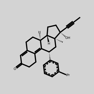 CC#C[C@]1(O)CC[C@H]2[C@@H]3CCC4=CC(=O)CCC4=C3[C@@H](c3cccc(C(C)C)c3)C[C@@]21C